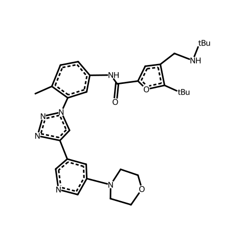 Cc1ccc(NC(=O)c2cc(CNC(C)(C)C)c(C(C)(C)C)o2)cc1-n1cc(-c2cncc(N3CCOCC3)c2)nn1